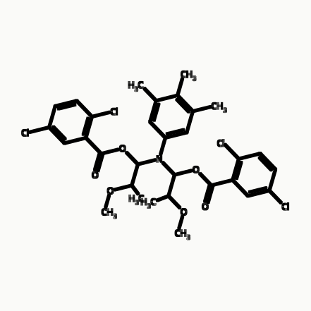 COC(C)C(OC(=O)c1cc(Cl)ccc1Cl)N(c1cc(C)c(C)c(C)c1)C(OC(=O)c1cc(Cl)ccc1Cl)C(C)OC